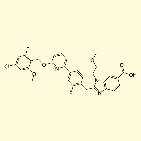 COCCn1c(Cc2ccc(-c3cccc(OCc4c(F)cc(Cl)cc4OC)n3)cc2F)nc2ccc(C(=O)O)cc21